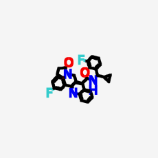 O=C(NC(c1cccc(F)c1)C1CC1)c1c(CN2CCCC2=O)c(-c2cccc(F)c2)nc2ccccc12